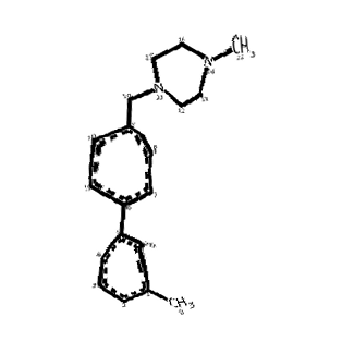 Cc1cccc(-c2ccc(CN3CCN(C)CC3)cc2)c1